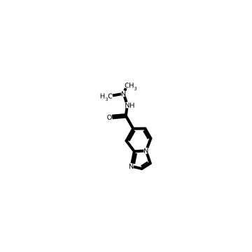 CN(C)NC(=O)c1ccn2ccnc2c1